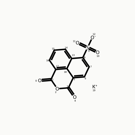 O=C1OC(=O)c2ccc(S(=O)(=O)[O-])c3cccc1c23.[K+]